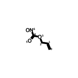 C=CCOC(=O)N=O